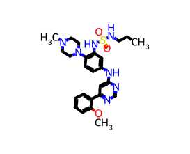 CCCNS(=O)(=O)Nc1cc(Nc2cc(-c3ccccc3OC)ncn2)ccc1N1CCN(C)CC1